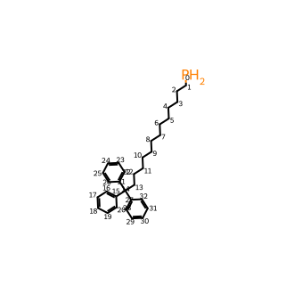 PCCCCCCCCCCCCCC(c1ccccc1)(c1ccccc1)c1ccccc1